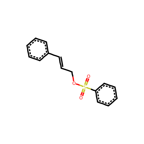 O=S(=O)(OC/C=C/c1ccccc1)c1ccccc1